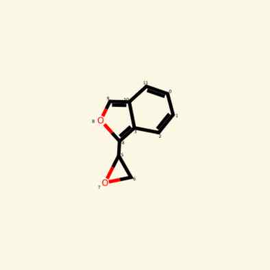 c1ccc2c(C3CO3)occ2c1